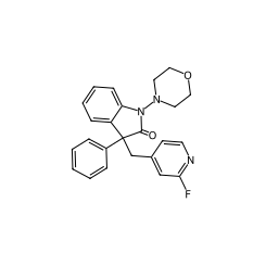 O=C1N(N2CCOCC2)c2ccccc2C1(Cc1ccnc(F)c1)c1ccccc1